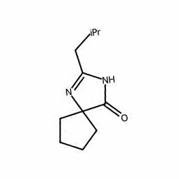 CC(C)CC1=NC2(CCCC2)C(=O)N1